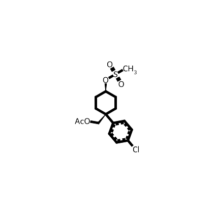 CC(=O)OC[C@]1(c2ccc(Cl)cc2)CC[C@H](OS(C)(=O)=O)CC1